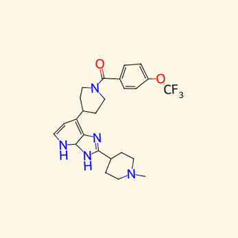 CN1CCC(C2=NC3=C(C4CCN(C(=O)c5ccc(OC(F)(F)F)cc5)CC4)C=CNC3N2)CC1